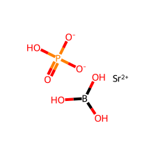 O=P([O-])([O-])O.OB(O)O.[Sr+2]